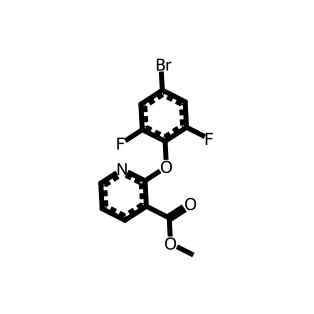 COC(=O)c1cccnc1Oc1c(F)cc(Br)cc1F